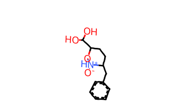 [O-][NH+]1OC(C(O)O)CCC1Cc1ccccc1